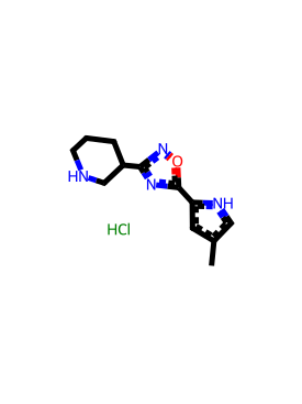 Cc1c[nH]c(-c2nc(C3CCCNC3)no2)c1.Cl